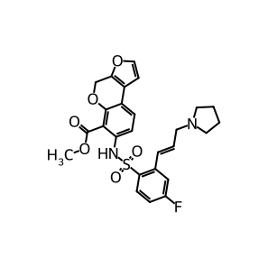 COC(=O)c1c(NS(=O)(=O)c2ccc(F)cc2C=CCN2CCCC2)ccc2c1OCc1occc1-2